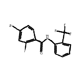 O=C(Nc1ccccc1C(F)(F)F)c1ccc(Br)cc1F